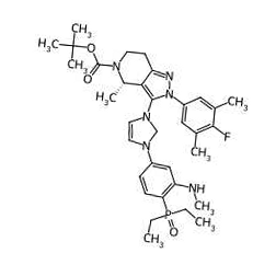 CCP(=O)(CC)c1ccc(N2C=CN(c3c4c(nn3-c3cc(C)c(F)c(C)c3)CCN(C(=O)OC(C)(C)C)[C@H]4C)C2)cc1NC